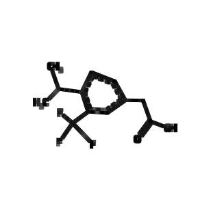 CC(C)c1ccc(CC(=O)O)cc1C(F)(F)F